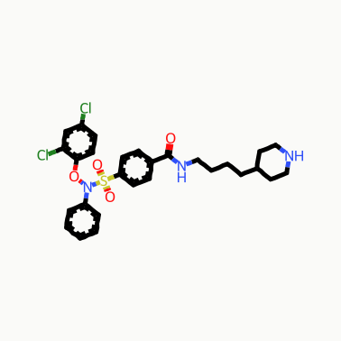 O=C(NCCCCC1CCNCC1)c1ccc(S(=O)(=O)N(Oc2ccc(Cl)cc2Cl)c2ccccc2)cc1